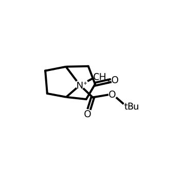 CC(C)(C)OC(=O)[N+]1(C)C2CCC1CC(=O)C2